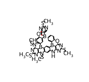 CSc1nc2c3c(n1)Oc1ccccc1B3c1cc3c(cc1N2)N(SC)c1nc(SC)nc2c1B3c1cc3c(cc1N2SC)Oc1nc(SC)nc2c1B3c1ccccc1O2